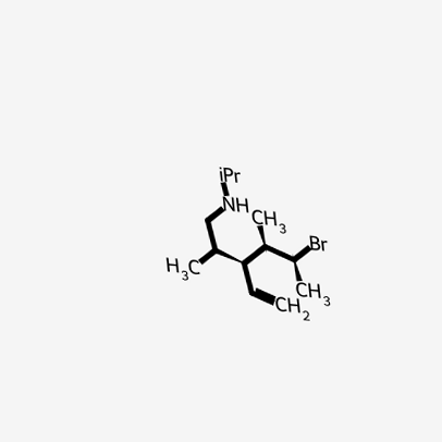 C=C[C@@H](C(C)CNC(C)C)[C@@H](C)[C@H](C)Br